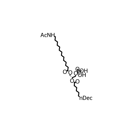 CCCCCCCCCCCCCCCC(=O)O[C@H](COC(=O)CCCCCCCCCCCCCNC(C)=O)COP(=O)(O)O